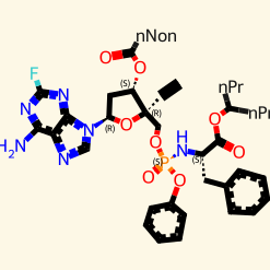 C#C[C@]1(CO[P@@](=O)(N[C@@H](Cc2ccccc2)C(=O)OC(CCC)CCC)Oc2ccccc2)O[C@@H](n2cnc3c(N)nc(F)nc32)C[C@@H]1OC(=O)CCCCCCCCC